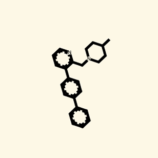 CC1CCN(Cc2ncccc2-c2ccc(-c3ccccc3)cc2)CC1